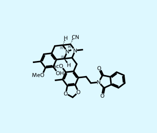 COc1c(C)cc2c(c1O)[C@H]1C(Cc3c(CCN4C(=O)c5ccccc5C4=O)c4c(c(C)c3OC(C)=O)OCO4)N(C)[C@@H](C#N)[C@H](C2)N1C